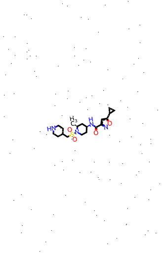 C[C@H]1C[C@@H](NC(=O)c2cc(C3CC3)on2)CCN1S(=O)(=O)CC1CCNCC1